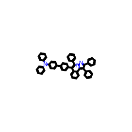 c1ccc(-c2nn3c(-c4ccccc4)c(-c4ccc(-c5ccc(N(c6ccccc6)c6ccccc6)cc5)cc4)c4ccccc4c3c2-c2ccccc2)cc1